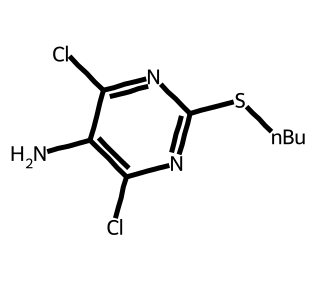 CCCCSc1nc(Cl)c(N)c(Cl)n1